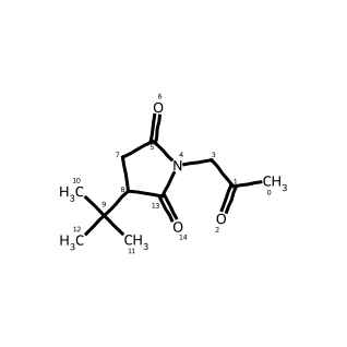 CC(=O)CN1C(=O)CC(C(C)(C)C)C1=O